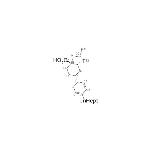 CCCCCCCC1=CCC([C@H]2CC[C@](CC(F)F)(C(=O)O)CC2)C=C1